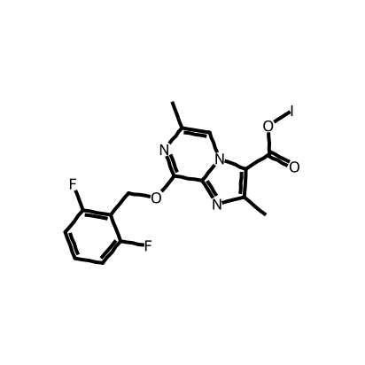 Cc1cn2c(C(=O)OI)c(C)nc2c(OCc2c(F)cccc2F)n1